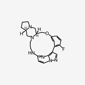 Fc1ccc2cc1-c1cnn3ccc(nc13)NCCN1C[C@@H]3CCCN3C[C@@H]1CO2